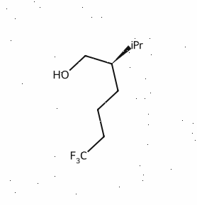 CC(C)[C@H](CO)CCCC(F)(F)F